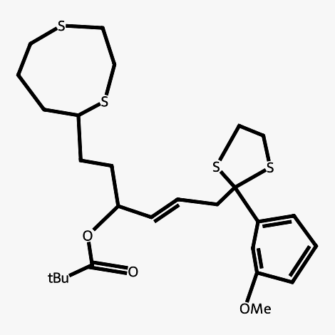 COc1cccc(C2(C/C=C/C(CCC3CCCSCCS3)OC(=O)C(C)(C)C)SCCS2)c1